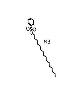 CCCCCCCCCCCCCCCCOS(=O)(=O)c1ccccc1.[Nd]